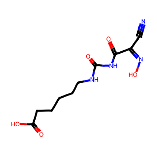 N#CC(=NO)C(=O)NC(=O)NCCCCCC(=O)O